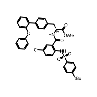 COC(=O)[C@H](Cc1ccc(-c2ccccc2Oc2ccccc2)cc1)NC(=O)c1cc(Cl)ccc1NS(=O)(=O)c1ccc(C(C)(C)C)cc1